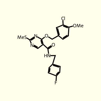 COc1ccc(COc2nc(SC)ncc2C(=O)NCc2ccc(F)cc2)cc1Cl